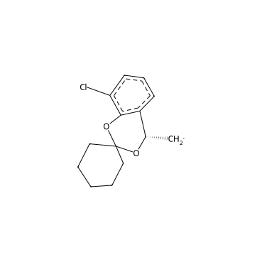 [CH2][C@@H]1OC2(CCCCC2)Oc2c(Cl)cccc21